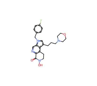 O=C1c2ncc3c(c(CCCN4CCOCC4)cn3Cc3ccc(F)cc3)c2CCN1O